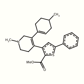 COC(=O)c1sc(-c2ccccc2)cc1C1=C(C2=CCC(C)CC2)CN(C)CC1